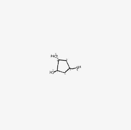 O[C@@H]1CC(S)C[C@H]1O